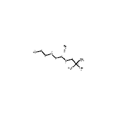 CC(C)(O)COCCOCCO.[O].[Te]